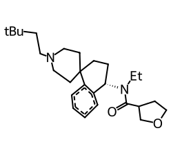 CCN(C(=O)C1CCOC1)[C@H]1CCC2(CCN(CCC(C)(C)C)CC2)c2ccccc21